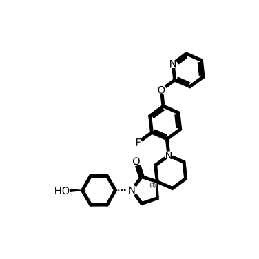 O=C1N([C@H]2CC[C@H](O)CC2)CC[C@@]12CCCN(c1ccc(Oc3ccccn3)cc1F)C2